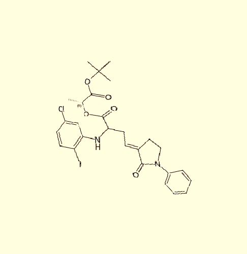 C[C@@H](OC(=O)C(CC=C1CCN(c2ccccc2)C1=O)Nc1cc(Cl)ccc1I)C(=O)OC(C)(C)C